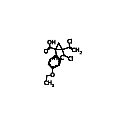 C=C(Cl)C1(C(=C)Cl)CC1(C(=O)O)c1ccc(OCC)cc1